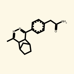 CC1=NN=C(c2ccc(CC(N)=O)cc2)C2C3CCC(C3)C12